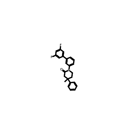 CC1(c2ccccc2)CCN(c2cccc(-c3cc(F)cc(F)c3)c2)C(=O)C1